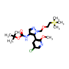 COc1ncc(Cl)cc1-c1c(NC(=O)OC(C)(C)C)cnn1COCCS(C)(C)C